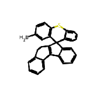 Bc1ccc2c(c1)C1(C3=C(c4ccccc4CC3)c3ccccc31)c1ccccc1S2